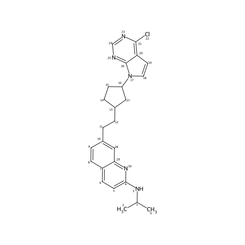 CC(C)Nc1ccc2ccc(CCC3CCC(n4ccc5c(Cl)ncnc54)C3)cc2n1